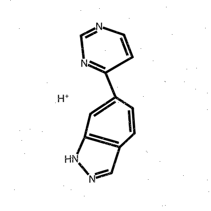 [H+].c1cc(-c2ccc3cn[nH]c3c2)ncn1